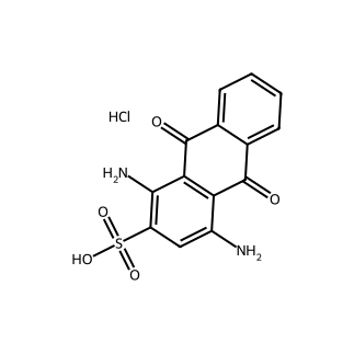 Cl.Nc1cc(S(=O)(=O)O)c(N)c2c1C(=O)c1ccccc1C2=O